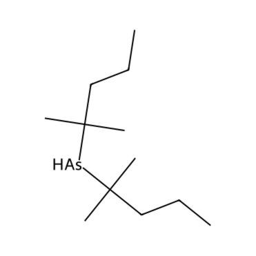 CCCC(C)(C)[AsH]C(C)(C)CCC